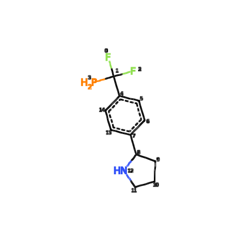 FC(F)(P)c1ccc(C2CCCN2)cc1